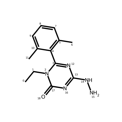 CCn1c(-c2c(C)cccc2C)nc(NN)nc1=O